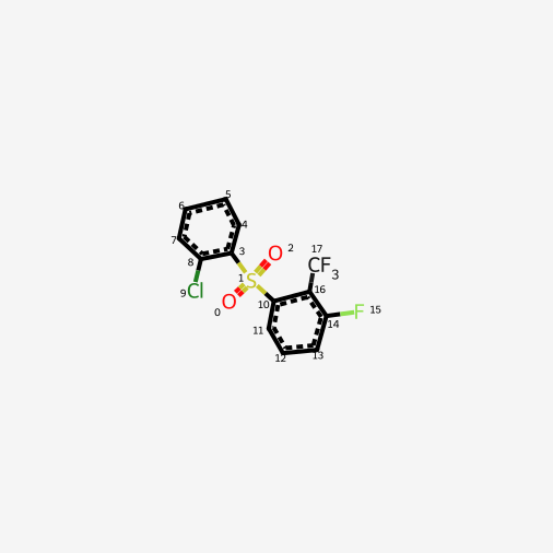 O=S(=O)(c1ccccc1Cl)c1cccc(F)c1C(F)(F)F